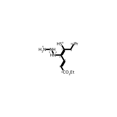 CCOC(=O)/C=C/C(NNN)=C(/S)CC(C)C